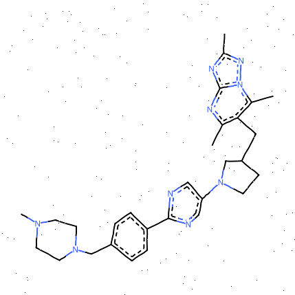 Cc1nc2nc(C)c(CC3CCN(c4cnc(-c5ccc(CN6CCN(C)CC6)cc5)nc4)C3)c(C)n2n1